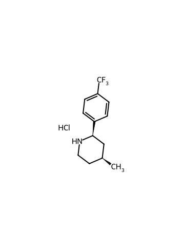 C[C@H]1CCN[C@@H](c2ccc(C(F)(F)F)cc2)C1.Cl